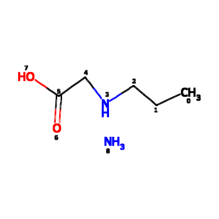 CCCNCC(=O)O.N